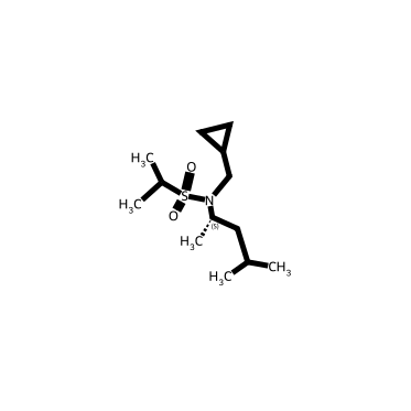 CC(C)C[C@H](C)N(CC1CC1)S(=O)(=O)C(C)C